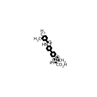 Cc1ccc(C(=O)Nc2ccc(-c3ccc(S(=O)(=O)N(C)[C@H](C(=O)O)C(C)C)cc3)cc2F)cc1C